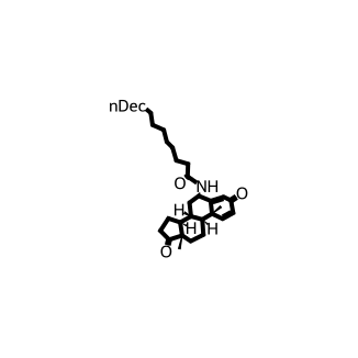 CCCCCCCCCCCCCCCCCC(=O)N[C@H]1C[C@@H]2[C@H](CC[C@]3(C)C(=O)CC[C@@H]23)[C@@]2(C)C=CC(=O)C=C12